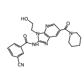 N#Cc1cccc(C(=O)Nc2nc3cc(C(=O)N4CCCCC4)cnc3n2CCO)c1